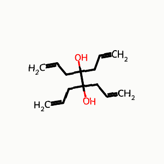 C=CCC(O)(CC=C)C(O)(CC=C)CC=C